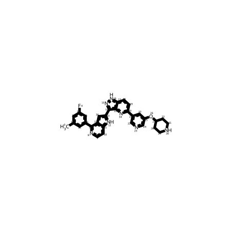 Cc1cc(F)cc(-c2nccc3[nH]c(-c4n[nH]c5ccc(-c6cncc(OC7CCNCC7)c6)nc45)cc23)c1